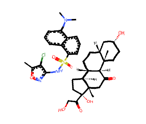 C[C@]12CC[C@@H](O)C[C@H]1CC[C@@H]1[C@@H]2C(=O)C[C@@]2(C)[C@H]1CC[C@]2(O)C(=O)CO.Cc1onc(NS(=O)(=O)c2cccc3c(N(C)C)cccc23)c1Cl